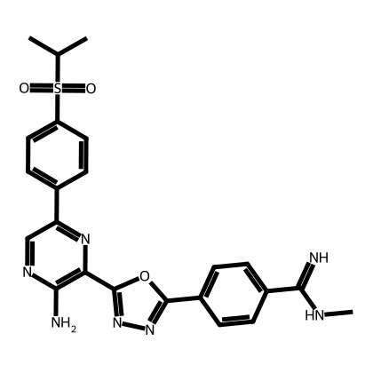 CNC(=N)c1ccc(-c2nnc(-c3nc(-c4ccc(S(=O)(=O)C(C)C)cc4)cnc3N)o2)cc1